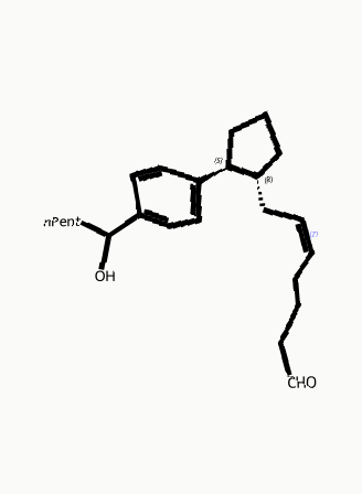 CCCCCC(O)c1ccc([C@H]2CCC[C@@H]2C/C=C\CCCC=O)cc1